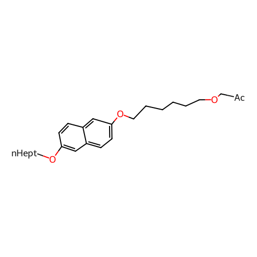 CCCCCCCOc1ccc2cc(OCCCCCCOCC(C)=O)ccc2c1